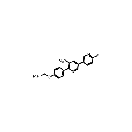 COCOc1ccc(-c2ncc(-c3ccc(F)nc3)cc2[N+](=O)[O-])cc1